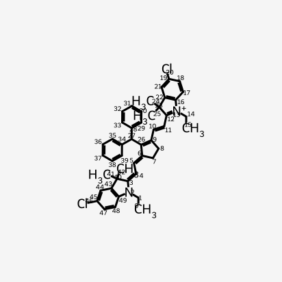 CCN1/C(=C/C=C2\CCC(/C=C/C3=[N+](CC)c4ccc(Cl)cc4C3(C)C)=C2C(c2ccccc2)c2ccccc2)C(C)(C)c2cc(Cl)ccc21